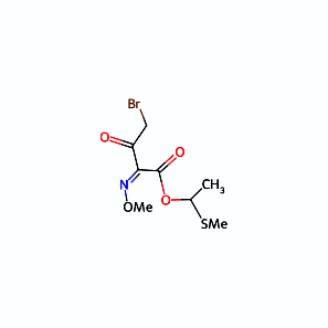 CON=C(C(=O)CBr)C(=O)OC(C)SC